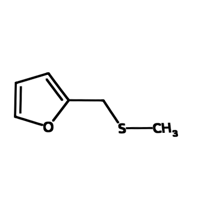 CSCc1ccco1